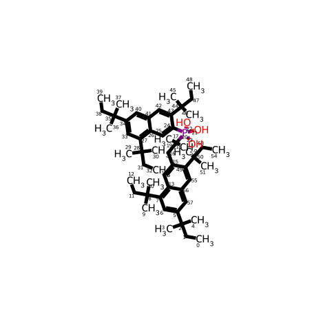 CCC(C)(C)c1cc(C(C)(C)CC)c2cc(CC(C)(C)P(O)(O)(O)c3cc4c(C(C)(C)CC)cc(C(C)(C)CC)cc4cc3C(C)(C)CC)c(C(C)(C)CC)cc2c1